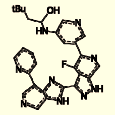 CC(C)(C)CC(O)Nc1cncc(-c2ncc3[nH]nc(-c4nc5c(-c6ccccn6)cncc5[nH]4)c3c2F)c1